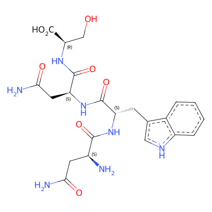 NC(=O)C[C@H](NC(=O)[C@H](Cc1c[nH]c2ccccc12)NC(=O)[C@@H](N)CC(N)=O)C(=O)N[C@H](CO)C(=O)O